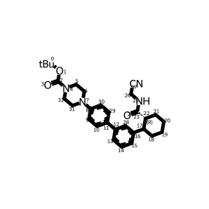 CC(C)(C)OC(=O)N1CCN(c2ccc(-c3cccc(C4CCCC[C@H]4C(=O)NCC#N)c3)cc2)CC1